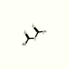 CCCC(=O)OC(=O)C(C)CC